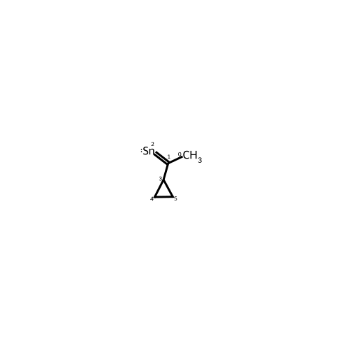 C[C](=[Sn])C1CC1